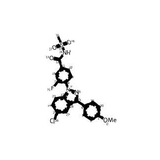 COc1ccc(-c2nn(-c3ccc(C(=O)NS(C)(=O)=O)cc3F)c3ccc(Cl)cc23)cc1